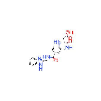 O=C(O)C[C@@H]1Nc2ccc(C(=O)NCc3nc4ccccc4[nH]3)cc2CNC1=O